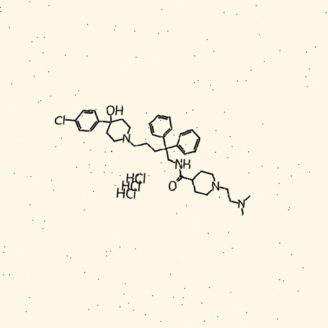 CN(C)CCN1CCC(C(=O)NCC(CCCN2CCC(O)(c3ccc(Cl)cc3)CC2)(c2ccccc2)c2ccccc2)CC1.Cl.Cl.Cl